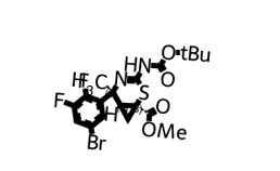 COC(=O)[C@]12C[C@H]1[C@@](C)(c1cc(Br)cc(F)c1F)N=C(NC(=O)OC(C)(C)C)S2